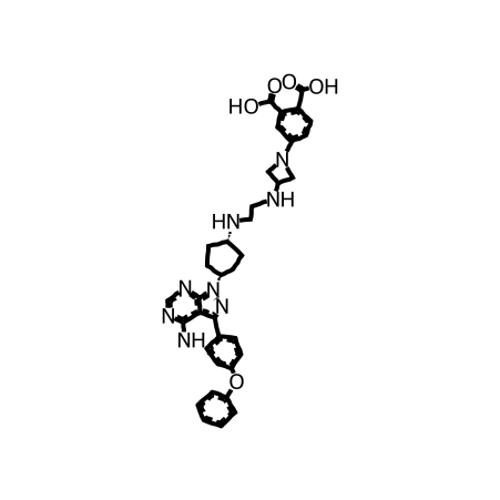 Nc1ncnc2c1c(-c1ccc(Oc3ccccc3)cc1)nn2[C@H]1CC[C@@H](NCCNC2CN(c3ccc(C(=O)O)c(C(=O)O)c3)C2)CC1